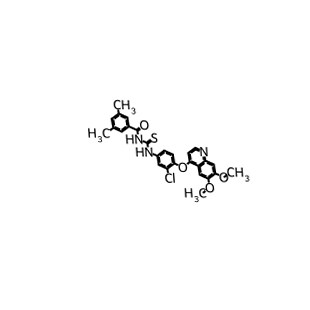 COc1cc2nccc(Oc3ccc(NC(=S)NC(=O)c4cc(C)cc(C)c4)cc3Cl)c2cc1OC